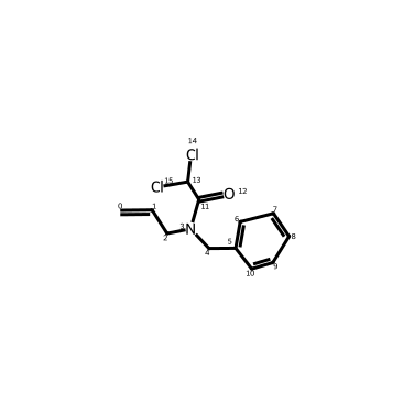 C=CCN(Cc1ccccc1)C(=O)C(Cl)Cl